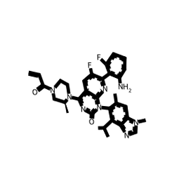 C=CC(=O)N1CCN(c2nc(=O)n(-c3c(C)cc4c(ncn4C)c3C(C)C)c3nc(-c4c(N)cccc4F)c(F)cc23)[C@@H](C)C1